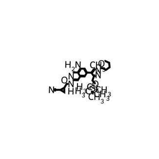 Cc1c(-c2cc(N)c3cnc(NC(=O)C4CC4C#N)cc3c2)c(CO[Si](C)(C)C(C)(C)C)nn1C1CCCCO1